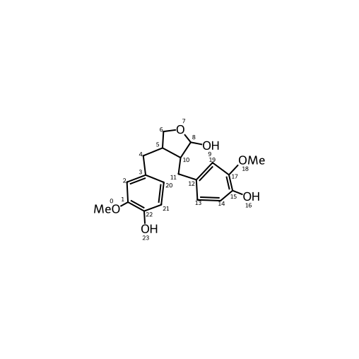 COc1cc(CC2COC(O)C2Cc2ccc(O)c(OC)c2)ccc1O